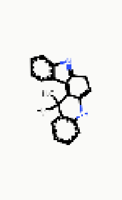 CC1(C)C2=C3C(=Nc4ccccc43)CC=C2Nc2ccccc21